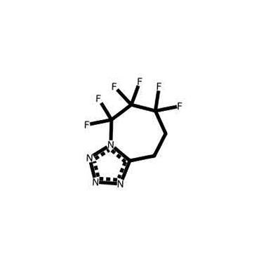 FC1(F)CCc2nnnn2C(F)(F)C1(F)F